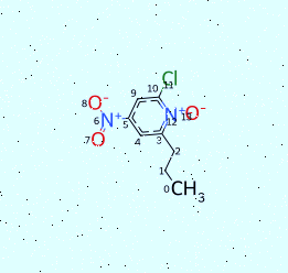 CCCc1cc([N+](=O)[O-])cc(Cl)[n+]1[O-]